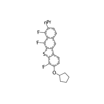 CCCc1ccc2cc3c(sc4c(F)c(OC5CCCC5)ccc43)c(F)c2c1F